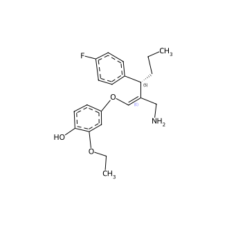 CCC[C@H](/C(=C\Oc1ccc(O)c(OCC)c1)CN)c1ccc(F)cc1